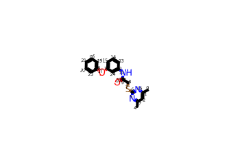 Cc1cc(C)nc(SCC(=O)Nc2cccc(Oc3ccccc3)c2)n1